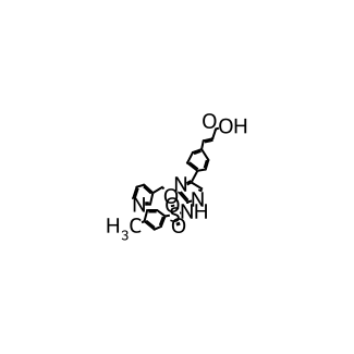 Cc1ccc(S(=O)(=O)Nc2ncc(-c3ccc(C=CC(=O)O)cc3)nc2OCc2cccnc2)cc1